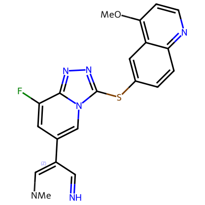 CN/C=C(\C=N)c1cc(F)c2nnc(Sc3ccc4nccc(OC)c4c3)n2c1